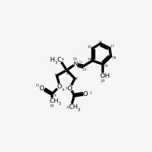 CC(=O)OCC(C)(COC(C)=O)/N=C/c1ccccc1O